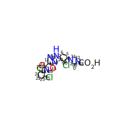 C[C@@H]1CN(c2ccc(Nc3ncc4c(n3)OCN(c3c(Cl)cccc3Cl)C4=O)cc2Cl)CCN1C(=O)O